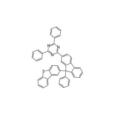 c1ccc(-c2nc(-c3ccccc3)nc(-c3ccc4c(c3)C(c3ccccc3)(c3ccc5sc6ccccc6c5c3)c3ccccc3-4)n2)cc1